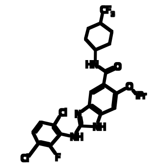 CC(C)Oc1cc2[nH]c(Nc3c(Cl)ccc(Cl)c3F)nc2cc1C(=O)NC1CCC(C(F)(F)F)CC1